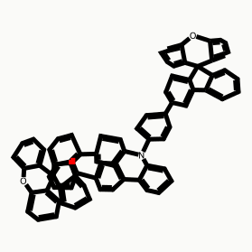 c1ccc(-c2ccc(-c3ccccc3N(c3ccc(-c4ccc5c(c4)-c4ccccc4C54c5ccccc5Oc5ccccc54)cc3)c3ccc(-c4cccc5c4-c4ccccc4C54c5ccccc5Oc5ccccc54)cc3)cc2)cc1